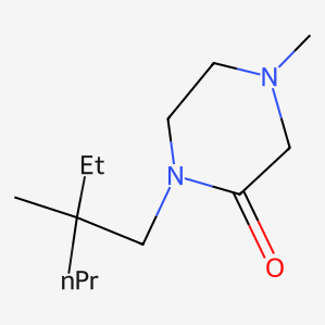 CCCC(C)(CC)CN1CCN(C)CC1=O